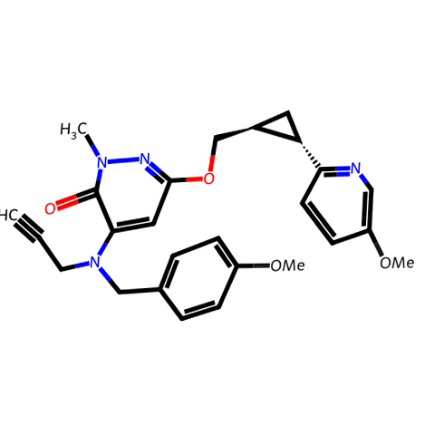 C#CCN(Cc1ccc(OC)cc1)c1cc(OC[C@H]2C[C@@H]2c2ccc(OC)cn2)nn(C)c1=O